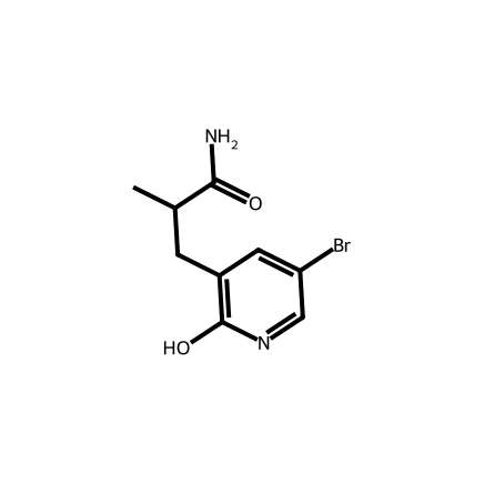 CC(Cc1cc(Br)cnc1O)C(N)=O